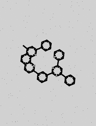 Cc1cc(-c2ccccc2)nc2c1ccc1ccc(-c3cccc(-c4nc(-c5ccccc5)cc(-c5ccccn5)n4)c3)nc12